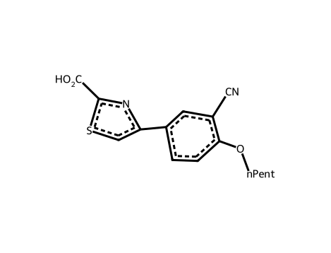 CCCCCOc1ccc(-c2csc(C(=O)O)n2)cc1C#N